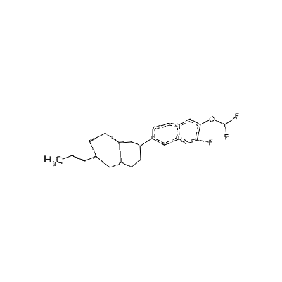 CCCC1CCC2CC(c3ccc4cc(OC(F)F)c(F)cc4c3)CCC2C1